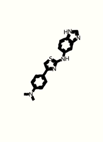 CN(C)c1ccc(-c2csc(Nc3ccc4[nH]cnc4c3)n2)cc1